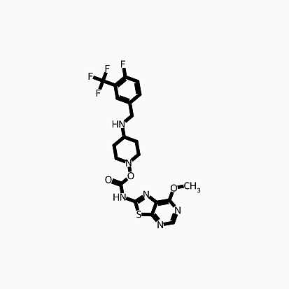 COc1ncnc2sc(NC(=O)ON3CCC(NCc4ccc(F)c(C(F)(F)F)c4)CC3)nc12